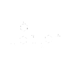 CN(C)CCC1(COCc2cc(-c3ccncc3)cc(C(F)(F)F)c2)OCc2cc(C#N)ccc21